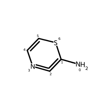 NC1=C=NC=CS1